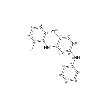 Cc1ccccc1Nc1nc(Nc2ccccc2)ncc1Cl